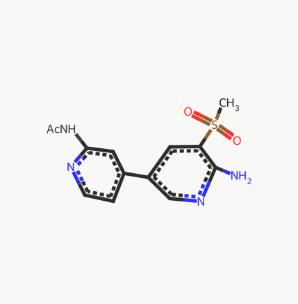 CC(=O)Nc1cc(-c2cnc(N)c(S(C)(=O)=O)c2)ccn1